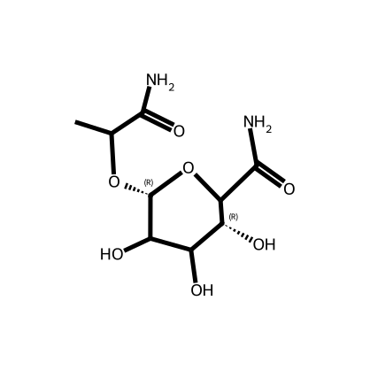 CC(O[C@@H]1OC(C(N)=O)[C@H](O)C(O)C1O)C(N)=O